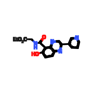 CCOC(=O)CNC(=O)c1c(O)ccc2nc(-c3cccnc3)cnc12